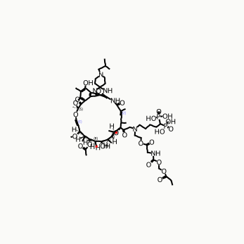 CCC(=O)OCOC(=O)NCC(=O)OCCN(CCCCC(P(=O)(O)O)P(=O)(O)O)CC(=O)C12O[C@H]([C@@H](C)[C@@H](O)[C@@H](C)[C@H](OC(C)=O)[C@H](C)[C@@H](OC)/C=C/O[C@@]3(C)Oc4c(C)c(O)c5c(c4C3=O)C3=NC4(CCN(CC(C)C)CC4)NC3=C(NC(=O)/C(C)=C\C1C)C5=O)[C@H]2C